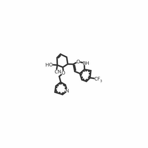 N#CC1(O)C=CCC(C2=Cc3ccc(C(F)(F)F)cc3BO2)C1OCc1cccnc1